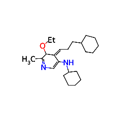 CCOC1C(=CCCC2CCCCC2)C(NC2CCCCC2)=CN=C1C